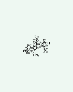 CNCCCN(C)c1c(-c2cccc(N(C(=O)OC(C)(C)C)[C@H]3C[C@@H](C(=O)O)N(C(=O)OC(C)(C)C)C3)n2)cccc1[N+](=O)[O-]